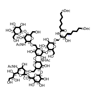 CCCCCCCCCCCCC/C=C/[C@@H](O)[C@H](CO[C@@H]1OC(CO)[C@@H](O[C@@H]2OC(CO[C@@H]3OC(CO)[C@@H](O[C@@H]4OC(CO)[C@H](O)[C@H](O)C4O)[C@H](O)C3NC(C)=O)[C@H](O)[C@H](O[C@@H]3OC(CO)[C@@H](O[C@@H]4OC(CO[C@]5(C(=O)O)CC(O)[C@@H](NC(C)=O)C([C@H](O)[C@H](O)CO)O5)[C@H](O)[C@H](O)C4O)[C@H](O)C3NC(C)=O)C2O)[C@H](O)C1O)NC(=O)CCCCCCCCCCCCCCC